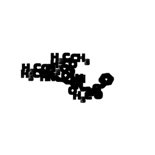 CN(CCNC(=O)C(CCCCNC(=O)OC(C)(C)C)NC(=O)CC(=O)OC(C)(C)C)C(=O)OCc1ccccc1